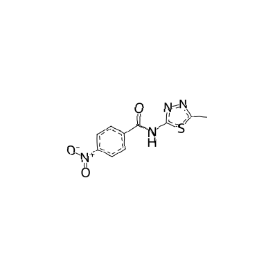 Cc1nnc(NC(=O)c2ccc([N+](=O)[O-])cc2)s1